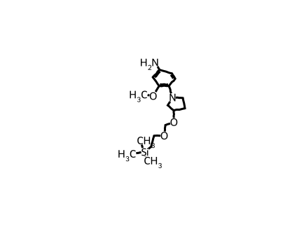 COc1cc(N)ccc1N1CCC(OCOCC[Si](C)(C)C)C1